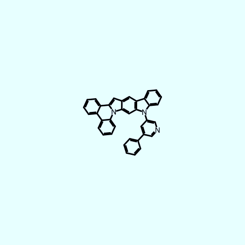 c1ccc(-c2cncc(-n3c4ccccc4c4cc5cc6c7ccccc7c7ccccc7n6c5cc43)c2)cc1